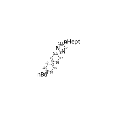 CCCCCCCc1cnc([C@H]2CC[C@H]([C@H]3CC[C@H](CCCC)CC3)CC2)nc1